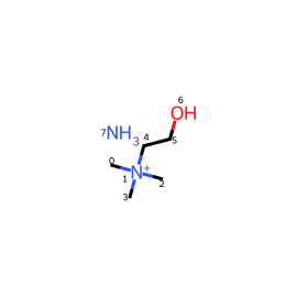 C[N+](C)(C)CCO.N